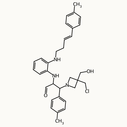 Cc1ccc(/C=C/CCNc2ccccc2NC(C=O)C(c2ccc(C)cc2)N2CC(CO)(CCl)C2)cc1